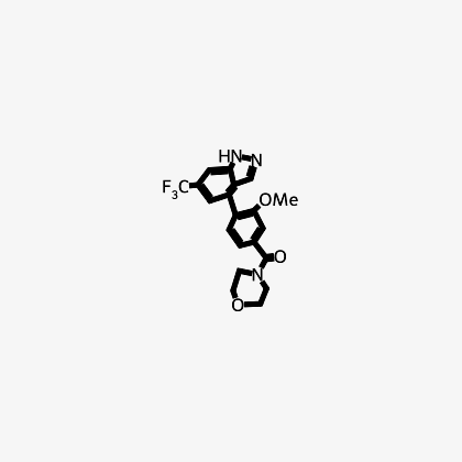 COc1cc(C(=O)N2CCOCC2)ccc1-c1cc(C(F)(F)F)cc2[nH]ncc12